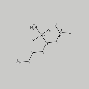 C[SiH](C)CC(CCCCl)[Si](C)(C)N